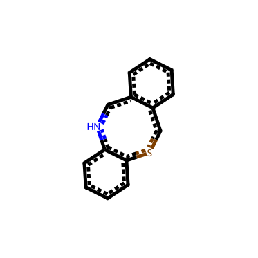 c1ccc2csc3ccccc3[nH]cc2c1